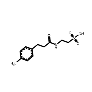 Cc1ccc(CCC(=O)NCCS(=O)(=O)O)cc1